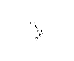 NO.[Ar].[He]